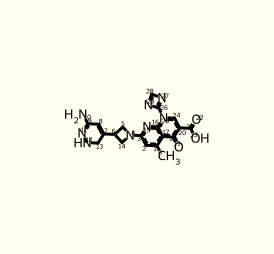 Cc1cc(N2CC(C3=CC(N)=NNC3)C2)nc2c1c(=O)c(C(=O)O)cn2C1=NC=N1